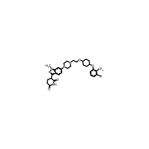 Cn1nc(C2CCC(=O)NC2=O)c2ccc(N3CCN(CCOC4CCC(Oc5cccc(Br)c5C(F)(F)F)CC4)CC3)cc21